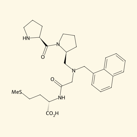 CSCC[C@H](NC(=O)CN(Cc1cccc2ccccc12)C[C@@H]1CCCN1C(=O)[C@@H]1CCCN1)C(=O)O